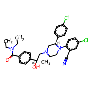 CCN(CC)C(=O)c1ccc([C@](C)(O)CN2CCN(c3ccc(Cl)cc3C#N)[C@H](c3ccc(Cl)cc3)C2)cc1